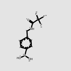 O=C(NCc1ccc(B(O)O)cc1)C(F)(F)F